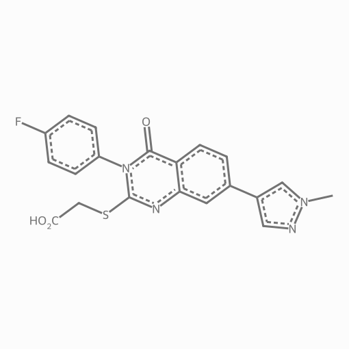 Cn1cc(-c2ccc3c(=O)n(-c4ccc(F)cc4)c(SCC(=O)O)nc3c2)cn1